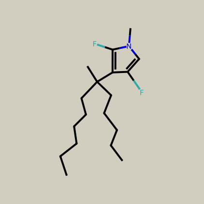 CCCCCCC(C)(CCCCC)c1c(F)cn(C)c1F